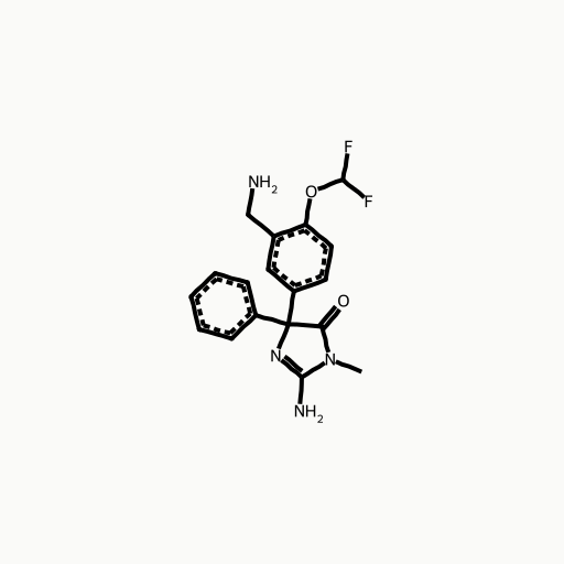 CN1C(=O)C(c2ccccc2)(c2ccc(OC(F)F)c(CN)c2)N=C1N